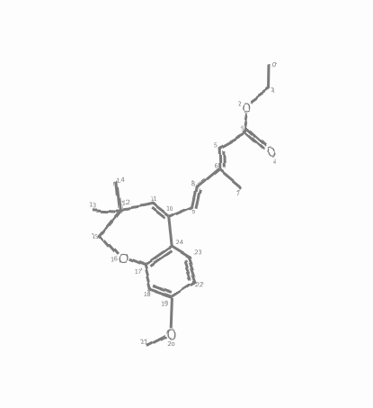 CCOC(=O)/C=C(C)/C=C/C1=CC(C)(C)COc2cc(OC)ccc21